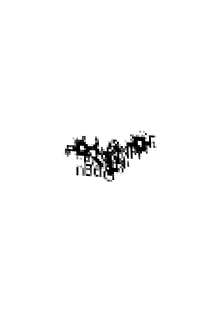 CCCC[C@H]1C(=O)N(C(C)c2ccc(F)cc2)C[C@H]2N1C(=O)CN(C)N2C(=O)NCc1ccc(F)cc1